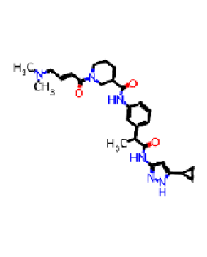 CC(C(=O)Nc1cc(C2CC2)[nH]n1)c1cccc(NC(=O)C2CCCN(C(=O)C=CCN(C)C)C2)c1